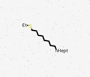 C[CH]SCCCCCCCCCCCCCCC